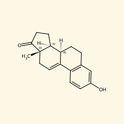 C[C@]12CC=C3c4ccc(O)cc4CC[C@@H]3[C@@H]1CCC2=O